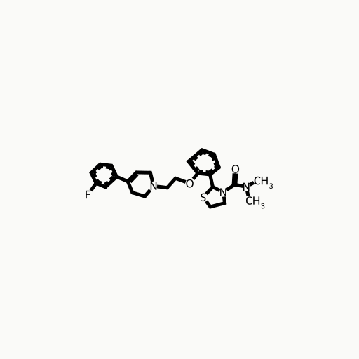 CN(C)C(=O)N1CCSC1c1ccccc1OCCN1CC=C(c2cccc(F)c2)CC1